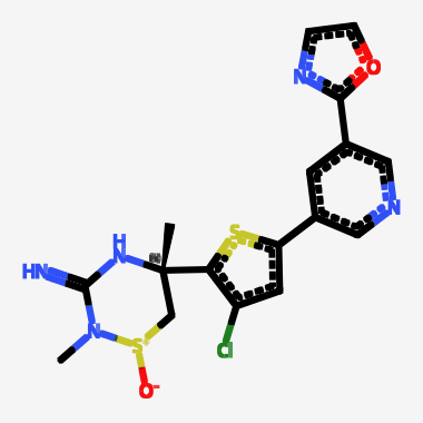 CN1C(=N)N[C@](C)(c2sc(-c3cncc(-c4ncco4)c3)cc2Cl)C[S+]1[O-]